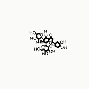 O=c1cc(-c2ccc(O)c(O)c2)oc2c([C@@H]3OC(CO)[C@@H](O)[C@H](O)C3O)c(O)c([C@@H]3OC[C@@H](O)[C@H](O)C3O)c(O)c12